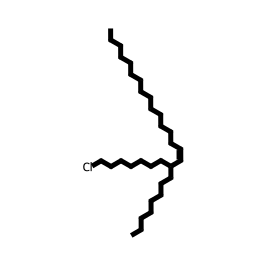 CCCCCCCCCCCCCC/C=C\C(CCCCCCCC)CCCCCCCCl